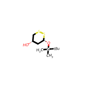 CC(C)(C)[Si](C)(C)O[C@@H]1C[C@H](O)CSS1